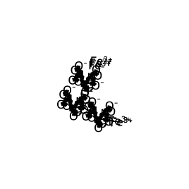 O=C([O-])CN(CCN(CC(=O)[O-])CC(=O)[O-])CCN(CC(=O)[O-])CC(=O)[O-].O=C([O-])CN(CCN(CC(=O)[O-])CC(=O)[O-])CCN(CC(=O)[O-])CC(=O)[O-].O=C([O-])CN(CCN(CC(=O)[O-])CC(=O)[O-])CCN(CC(=O)[O-])CC(=O)[O-].[Fe+3].[Fe+3].[Fe+3].[Fe+3].[Fe+3]